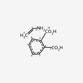 C=CN.O=C(O)c1ccccc1C(=O)O